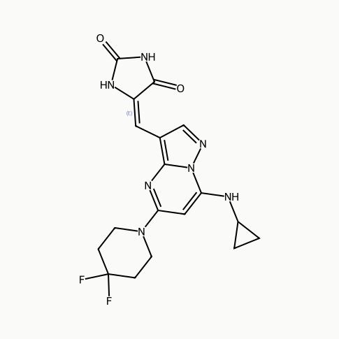 O=C1NC(=O)/C(=C\c2cnn3c(NC4CC4)cc(N4CCC(F)(F)CC4)nc23)N1